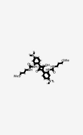 CSCCCNC(=O)NC1=CC(=[N+](C)C)C=C/C1=C1\C(=O)C(c2ccc(N(C)C)cc2NC(=O)NCCCSC)=C1O